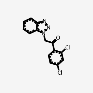 O=C(Cn1nnc2ccccc21)c1ccc(Cl)cc1Cl